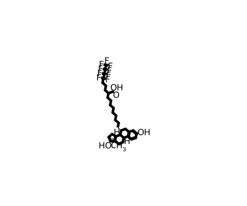 C[C@]12CC[C@@H]3c4ccc(O)cc4C[C@@H](CCCCCCCCCC(CCCC(F)(F)C(F)(F)C(F)(F)C(F)(F)F)C(=O)O)[C@H]3[C@@H]1CC[C@@H]2O